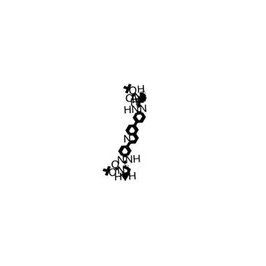 CC(C)(C)OC(=O)N1[C@H](c2nc3ccc(-c4ccc5nc(-c6ccc7nc([C@@H]8C[C@H]9C[C@H]9N8C(=O)OC(C)(C)C)[nH]c7c6)ccc5c4)cc3[nH]2)C2C3[C@H]2[C@@H]31